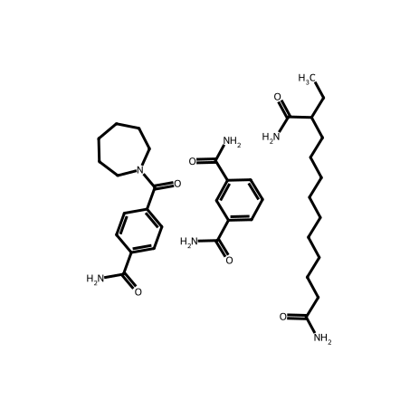 CCC(CCCCCCCCCC(N)=O)C(N)=O.NC(=O)c1ccc(C(=O)N2CCCCCC2)cc1.NC(=O)c1cccc(C(N)=O)c1